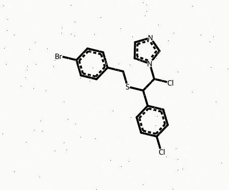 Clc1ccc(C(SCc2ccc(Br)cc2)C(Cl)n2ccnc2)cc1